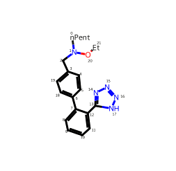 CCCCCN(Cc1ccc(-c2ccccc2-c2nnn[nH]2)cc1)OCC